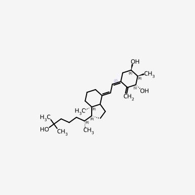 C=C1/C(=C\C=C2CCC[C@@]3(C)C2CC[C@@H]3[C@H](C)CCCC(C)(C)O)C[C@@H](O)[C@@H](C)[C@@H]1O